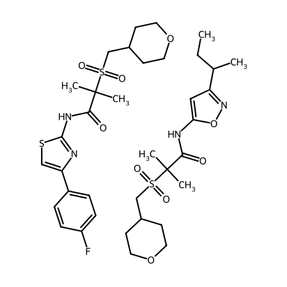 CC(C)(C(=O)Nc1nc(-c2ccc(F)cc2)cs1)S(=O)(=O)CC1CCOCC1.CCC(C)c1cc(NC(=O)C(C)(C)S(=O)(=O)CC2CCOCC2)on1